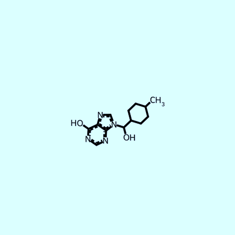 CC1CCC(C(O)n2cnc3c(O)ncnc32)CC1